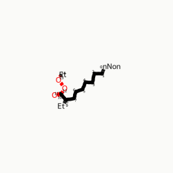 CCCCCCCCCCCCCCCCC(CC)C(=O)OOCC